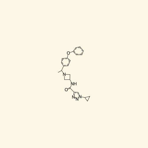 CC(c1ccc(Oc2ccccc2)cc1)N1CC(NC(=O)c2cn(C3CC3)nn2)C1